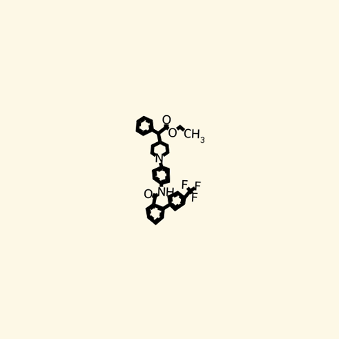 CCOC(=O)C(c1ccccc1)C1CCN(c2ccc(NC(=O)c3ccccc3-c3ccc(C(F)(F)F)cc3)cc2)CC1